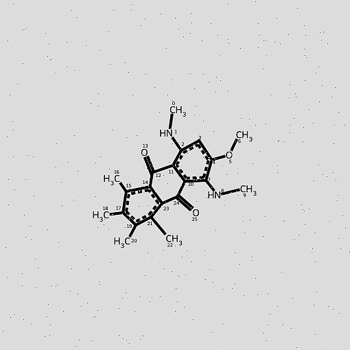 CNc1cc(OC)c(NC)c2c1C(=O)c1c(C)c(C)c(C)c(C)c1C2=O